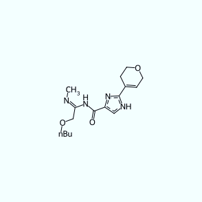 CCCCOC/C(=N/C)NC(=O)c1c[nH]c(C2=CCOCC2)n1